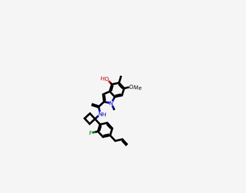 C=CCc1ccc(C2(NC(=C)c3cc4c(O)c(C)c(OC)cc4n3C)CCC2)c(F)c1